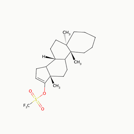 C[C@]12CCCCC[C@]1(C)C1CC[C@]3(C)C(OS(=O)(=O)C(F)(F)F)=CCC3[C@@H]1CC2